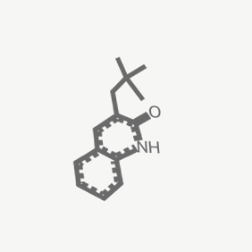 CC(C)(C)Cc1cc2ccccc2[nH]c1=O